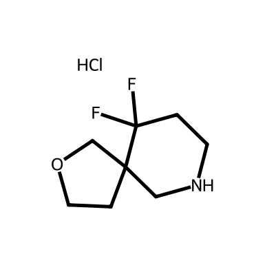 Cl.FC1(F)CCNCC12CCOC2